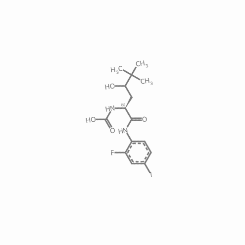 CC(C)(C)C(O)C[C@H](NC(=O)O)C(=O)Nc1ccc(I)cc1F